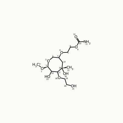 CO[C@H]1OCC(OCCOC(N)=O)C[C@](C)(O)C(OCCO)C1O